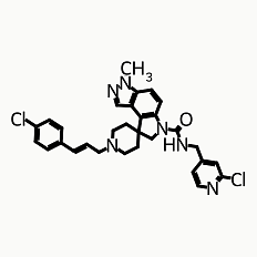 Cn1ncc2c3c(ccc21)N(C(=O)NCc1ccnc(Cl)c1)CC31CCN(C/C=C/c2ccc(Cl)cc2)CC1